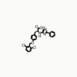 O=C(O)[C@H](Cc1ccc(OCc2c(Cl)cccc2Cl)cc1)Nc1csc(-c2ccccc2)n1